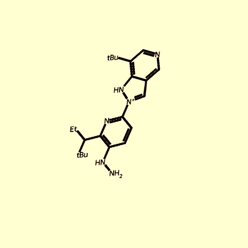 CCC(c1nc(-[n+]2cc3cncc(C(C)(C)C)c3[nH]2)ccc1NN)C(C)(C)C